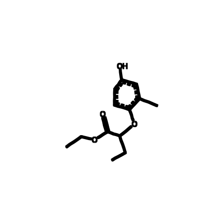 CCOC(=O)C(CC)Oc1ccc(O)cc1C